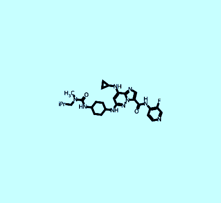 CC(C)CN(C)C(=O)NC1CCC(Nc2cc(NC3CC3)c3ncc(C(=O)Nc4ccncc4F)n3n2)CC1